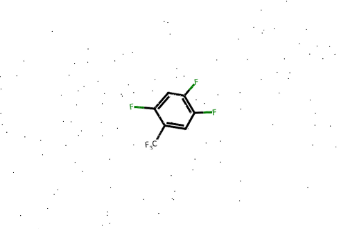 Fc1[c]c(C(F)(F)F)c(F)cc1F